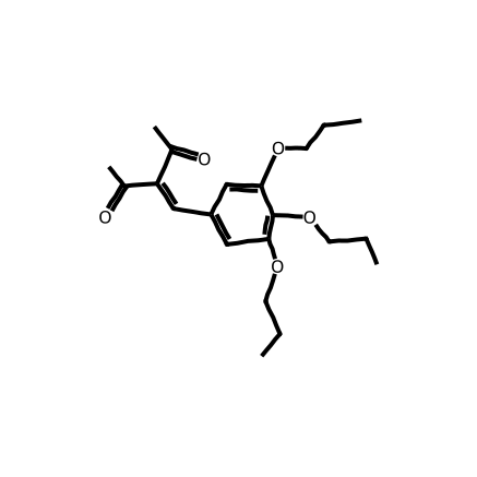 CCCOc1cc(C=C(C(C)=O)C(C)=O)cc(OCCC)c1OCCC